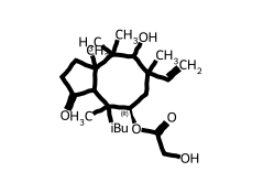 C=CC1(C)C[C@@H](OC(=O)CO)C(C)(C(C)CC)C2C(=O)CCC2(C)C(C)(C)C1O